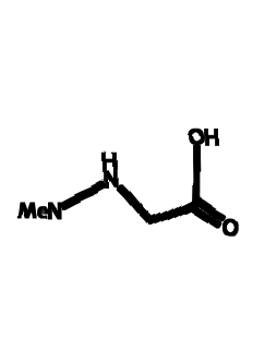 CNNCC(=O)O